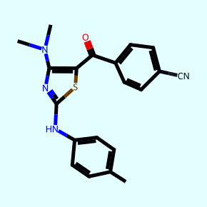 Cc1ccc(Nc2nc(N(C)C)c(C(=O)c3ccc(C#N)cc3)s2)cc1